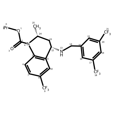 CC(C)OC(=O)N1c2ccc(C(F)(F)F)cc2[C@@H](NCc2cc(C(F)(F)F)cc(C(F)(F)F)c2)C[C@H]1C